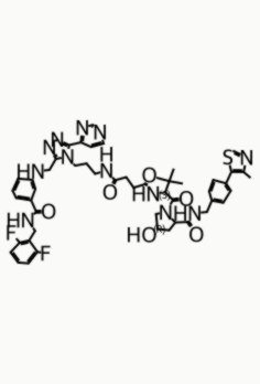 Cc1ncsc1-c1ccc(CNC(=O)C2C[C@@H](O)CN2C(=O)[C@@H](NC(=O)CCC(=O)NCCCn2c(CNc3cccc(C(=O)NCc4c(F)cccc4F)c3)nnc2-c2ccncn2)C(C)(C)C)cc1